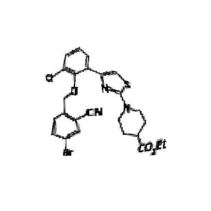 CCOC(=O)C1CCN(c2nc(-c3cccc(Cl)c3OCc3ccc(Br)cc3C#N)cs2)CC1